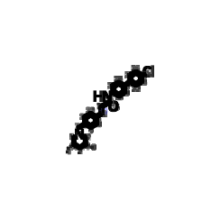 C[C@@H]1C[C@H](C)CN(Cc2ccc(/C=C/C(=O)Nc3ccc(-c4ccc(Cl)cc4)cc3)cc2)C1